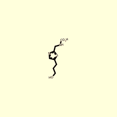 O=C(O)NCc1ncc(CCCO)s1